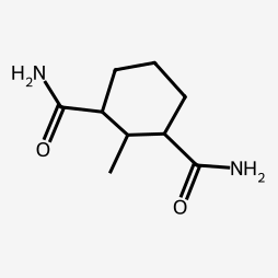 CC1C(C(N)=O)CCCC1C(N)=O